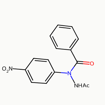 CC(=O)NN(C(=O)c1ccccc1)c1ccc([N+](=O)[O-])cc1